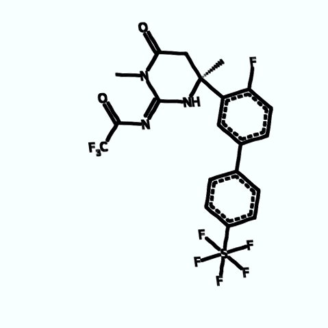 CN1C(=O)C[C@@](C)(c2cc(-c3ccc(S(F)(F)(F)(F)F)cc3)ccc2F)N/C1=N/C(=O)C(F)(F)F